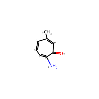 Cc1cccc(N)c(=O)c1